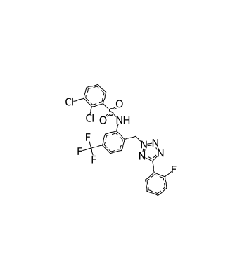 O=S(=O)(Nc1cc(C(F)(F)F)ccc1Cn1nnc(-c2ccccc2F)n1)c1cccc(Cl)c1Cl